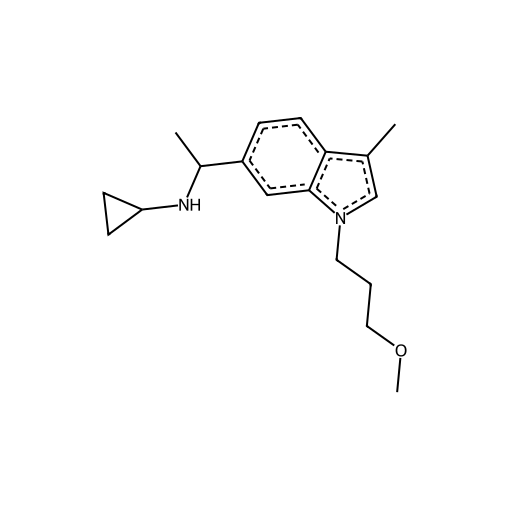 COCCCn1cc(C)c2ccc(C(C)NC3CC3)cc21